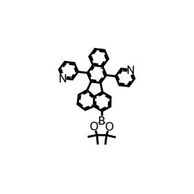 CC1(C)OB(c2ccc3c4c(cccc24)-c2c-3c(-c3cccnc3)c3ccccc3c2-c2cccnc2)OC1(C)C